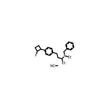 CC#N.CCC(CCc1ccc(C2CCC2F)cc1)N(CC)Cc1ccccc1